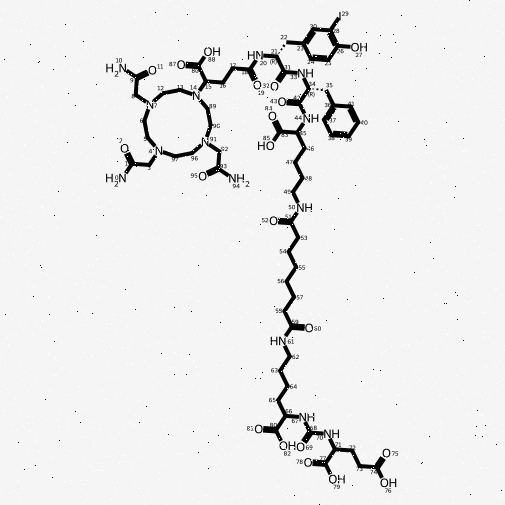 NC(=O)CN1CCN(CC(N)=O)CCN(C(CCC(=O)N[C@H](Cc2ccc(O)c(I)c2)C(=O)N[C@H](Cc2ccccc2)C(=O)NC(CCCCNC(=O)CCCCCCC(=O)NCCCCC(NC(=O)NC(CCC(=O)O)C(=O)O)C(=O)O)C(=O)O)C(=O)O)CCN(CC(N)=O)CC1